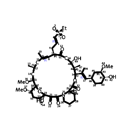 CCS(=O)(=O)/C=C/C[C@@H]1/C=C(\C)C[C@H](C)C[C@H](OC)[C@H]2O[C@@](O)(C(=O)C(=O)N3CCCC[C@H]3C(=O)O[C@H](/C(C)=C/[C@@H]3CC[C@@H](O)[C@H](OC)C3)[C@H](C)[C@@H](O)CC1=O)[C@H](C)C[C@@H]2OC